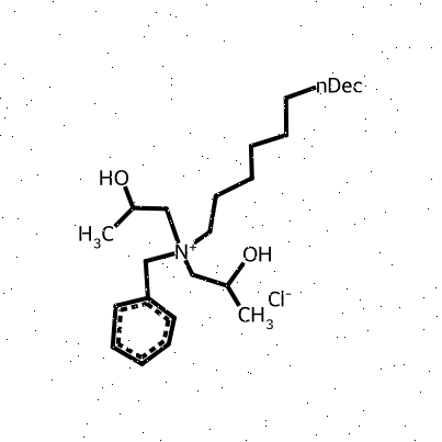 CCCCCCCCCCCCCCCC[N+](Cc1ccccc1)(CC(C)O)CC(C)O.[Cl-]